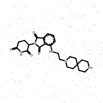 O=C1CCC(N2C(=O)c3cccc(NCCN4CCC5(CCNCC5)CC4)c3C2=O)C(=O)N1